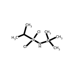 CC(C)[Si](Cl)(Cl)N[Si](C)(C)C